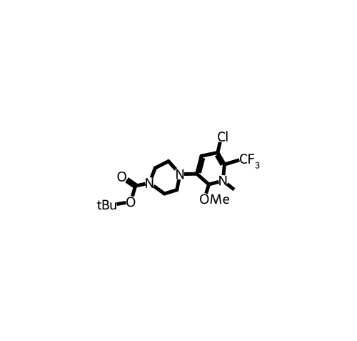 COC1C(N2CCN(C(=O)OC(C)(C)C)CC2)=CC(Cl)=C(C(F)(F)F)N1C